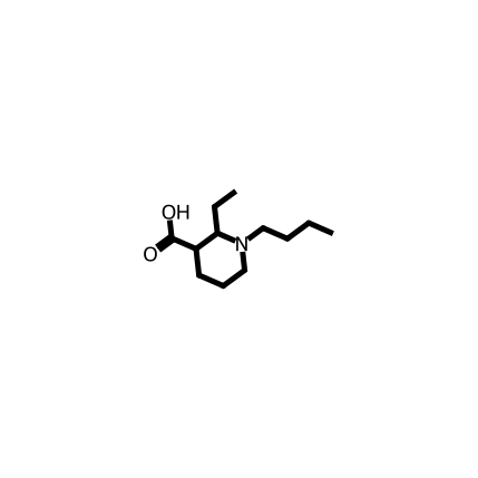 CCCCN1CCCC(C(=O)O)C1CC